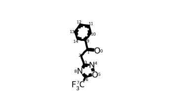 O=C(Cc1noc(C(F)(F)F)n1)c1ccccc1